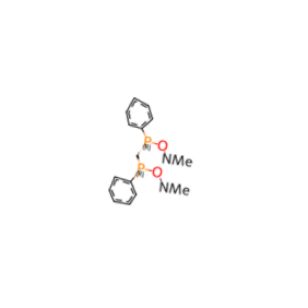 CNO[P@](C[P@@](ONC)c1ccccc1)c1ccccc1